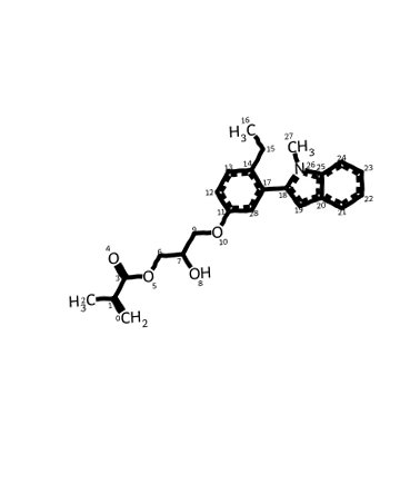 C=C(C)C(=O)OCC(O)COc1ccc(CC)c(-c2cc3ccccc3n2C)c1